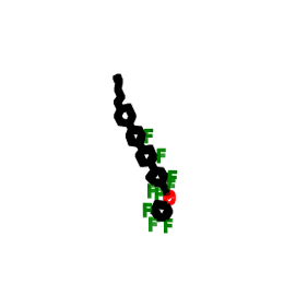 C=CCCCC1CCC(c2ccc(-c3ccc(-c4cc(F)c(C(F)(F)Oc5cc(F)c(F)c(F)c5)c(F)c4)c(F)c3)c(F)c2)CC1